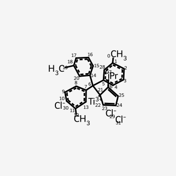 Cc1cccc(C(c2cccc(C)c2)(c2cccc(C)c2)[C]2([Ti+3])C=CC=C2C(C)C)c1.[Cl-].[Cl-].[Cl-]